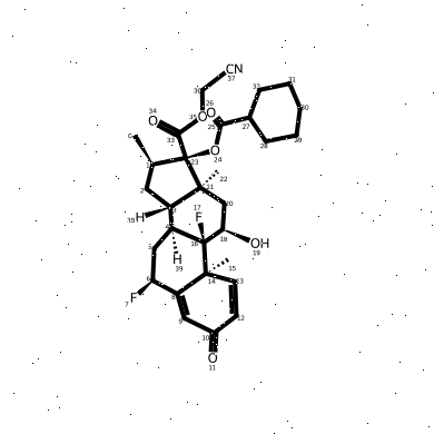 C[C@@H]1C[C@H]2[C@@H]3C[C@H](F)C4=CC(=O)C=C[C@]4(C)[C@@]3(F)[C@H](O)C[C@]2(C)[C@@]1(OC(=O)C1CCCCC1)C(=O)OCC#N